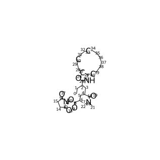 CCC(CC(CC(C)C(=O)ON1C(=O)CCC1=O)C(=O)N(C)C)C(=O)NC1CCCCCCCCCCCCCC1